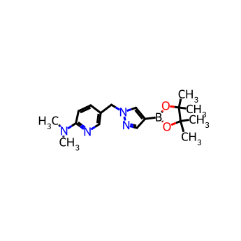 CN(C)c1ccc(Cn2cc(B3OC(C)(C)C(C)(C)O3)cn2)cn1